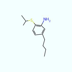 CCCCc1ccc(SC(C)C)c(N)c1